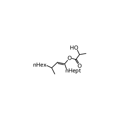 CCCCCCC/C(=C\C(C)CCCCCC)OC(=O)C(C)O